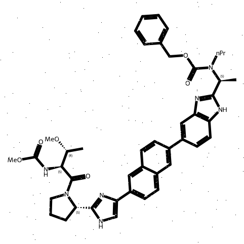 CCCN(C(=O)OCc1ccccc1)[C@@H](C)c1nc2cc(-c3ccc4cc(-c5c[nH]c([C@@H]6CCCN6C(=O)[C@@H](NC(=O)OC)[C@@H](C)OC)n5)ccc4c3)ccc2[nH]1